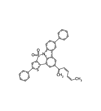 C=C(/C=C\C=C/C)c1cc2c3c(c1)c1cc(-c4ccccc4)ccc1n3S(=O)(=O)c1cc(-c3ccccc3)sc1-2